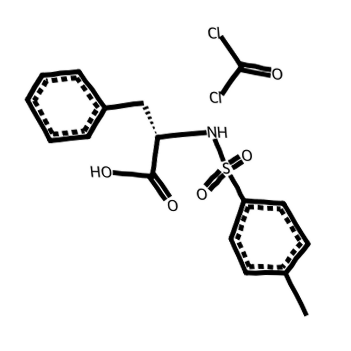 Cc1ccc(S(=O)(=O)N[C@@H](Cc2ccccc2)C(=O)O)cc1.O=C(Cl)Cl